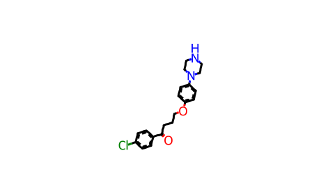 O=C(CCCOc1ccc(N2CCNCC2)cc1)c1ccc(Cl)cc1